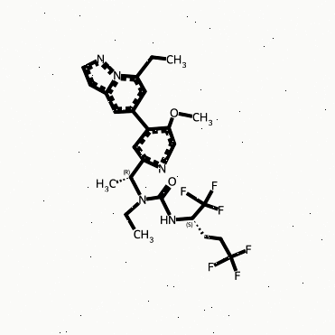 CCc1cc(-c2cc([C@@H](C)N(CC)C(=O)N[C@@H](CCC(F)(F)F)C(F)(F)F)ncc2OC)cc2ccnn12